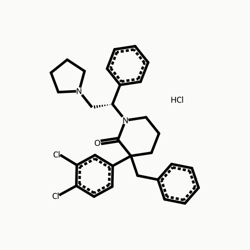 Cl.O=C1N([C@H](CN2CCCC2)c2ccccc2)CCCC1(Cc1ccccc1)c1ccc(Cl)c(Cl)c1